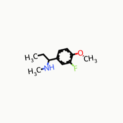 CCC(NC)c1ccc(OC)c(F)c1